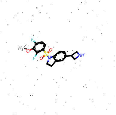 COc1c(F)ccc(S(=O)(=O)N2CCc3cc(C4CNC4)ccc32)c1F